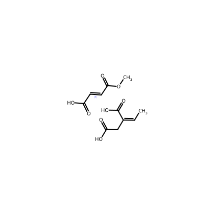 CC=C(CC(=O)O)C(=O)O.COC(=O)/C=C/C(=O)O